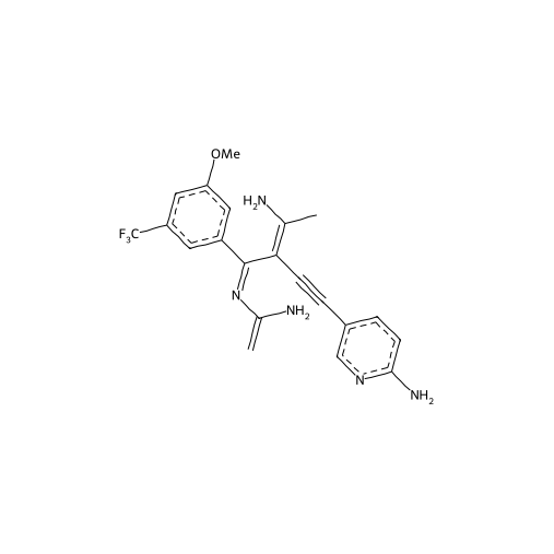 C=C(N)/N=C(\C(C#Cc1ccc(N)nc1)=C(\C)N)c1cc(OC)cc(C(F)(F)F)c1